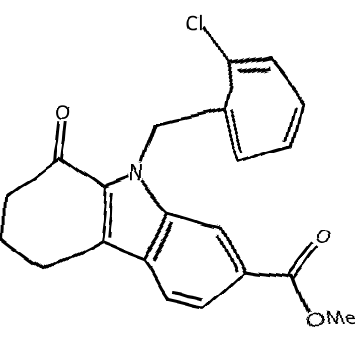 COC(=O)c1ccc2c3c(n(Cc4ccccc4Cl)c2c1)C(=O)CCC3